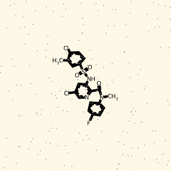 Cc1cc(S(=O)(=O)Nc2cc(Cl)cnc2C(=O)N(C)c2ccc(F)cc2)ccc1Cl